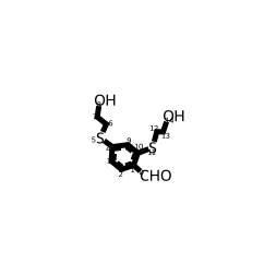 O=Cc1ccc(SCCO)cc1SCCO